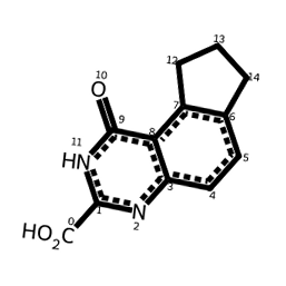 O=C(O)c1nc2ccc3c(c2c(=O)[nH]1)CCC3